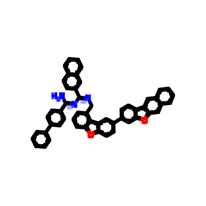 N/C(=N\C(=N/Cc1cccc2oc3ccc(-c4ccc5c(c4)oc4cc6ccccc6cc45)cc3c12)c1ccc2ccccc2c1)c1ccc(-c2ccccc2)cc1